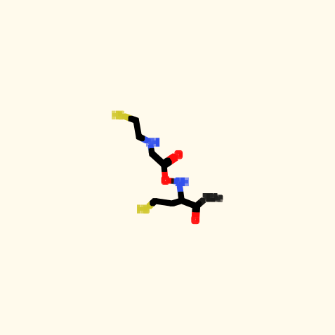 CNC(=O)C(CCS)NOC(=O)CNCCS